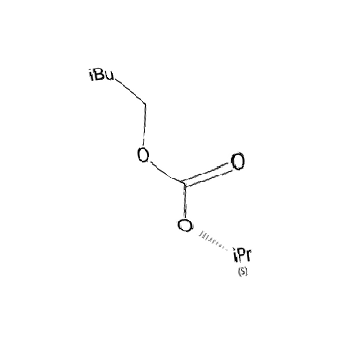 [CH2][C@@H](C)OC(=O)OCC(C)CC